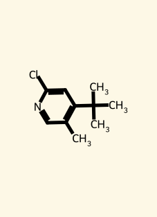 Cc1cnc(Cl)cc1C(C)(C)C